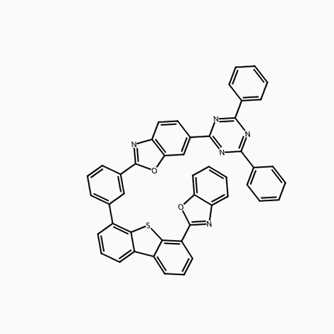 c1ccc(-c2nc(-c3ccccc3)nc(-c3ccc4nc(-c5cccc(-c6cccc7c6sc6c(-c8nc9ccccc9o8)cccc67)c5)oc4c3)n2)cc1